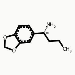 CCC[C@@H](N)c1ccc2c(c1)OCO2